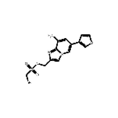 CC(C)CS(=O)(=O)NCc1cn2cc(-c3ccoc3)cc(C(F)(F)F)c2n1